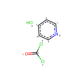 Cl.O=C(Cl)Cl.c1ccncc1